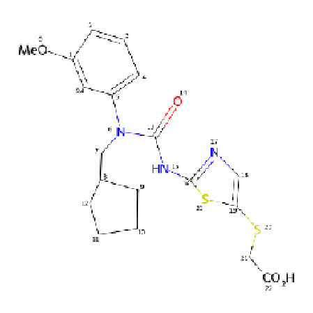 COc1cccc(N(CC2CCCC2)C(=O)Nc2ncc(SCC(=O)O)s2)c1